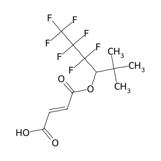 CC(C)(C)C(OC(=O)C=CC(=O)O)C(F)(F)C(F)(F)C(F)(F)F